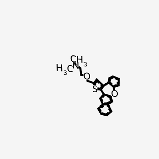 CN(C)CCOCc1cc2c(s1)-c1cc3ccccc3cc1Oc1ccccc1-2